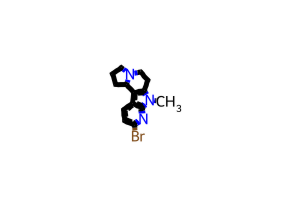 Cn1c2c(c3ccc(Br)nc31)C1CCCN1CC2